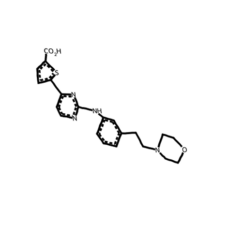 O=C(O)c1ccc(-c2ccnc(Nc3cccc(CCN4CCOCC4)c3)n2)s1